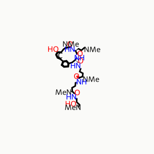 CNCCC[C@@H]1NC(=O)[C@@H](NC)Cc2cc(ccc2O)-c2cccc(c2)C[C@@H](C(=O)NCCC[C@H](NC)C(=O)NCCC[C@H](NC)C(=O)NCC(O)CNC)NC1=O